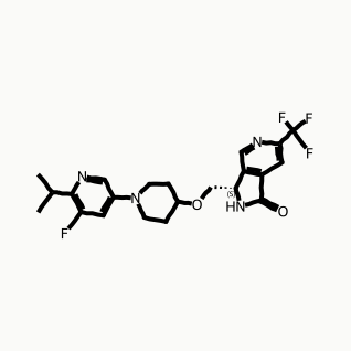 CC(C)c1ncc(N2CCC(OC[C@H]3NC(=O)c4cc(C(F)(F)F)ncc43)CC2)cc1F